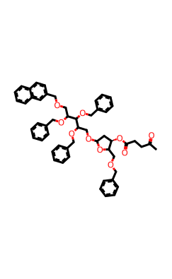 CC(=O)CCC(=O)O[C@@H]1CC(OCC(OCc2ccccc2)C(OCc2ccccc2)C(COCc2ccc3ccccc3c2)OCc2ccccc2)OC1COCc1ccccc1